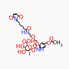 CC(=O)OCc1ccc(NC(=O)O[C@@H]2O[C@H](C(=O)O)[C@@H](O)[C@H](O)[C@H]2I)c(OCCOCCNC(=O)CCCCCN2C(=O)C=CC2=O)c1